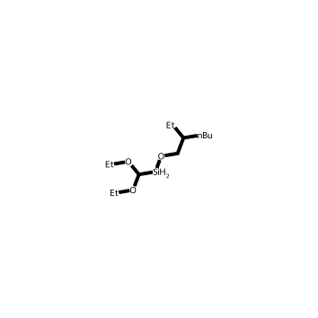 CCCCC(CC)CO[SiH2]C(OCC)OCC